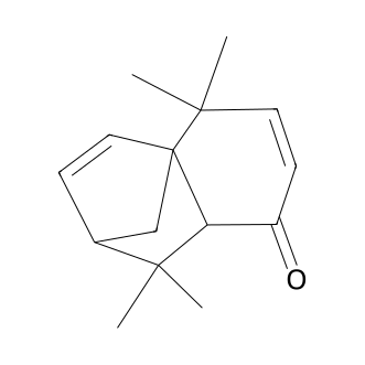 CC1(C)C2C=CC3(C2)C1C(=O)C=CC3(C)C